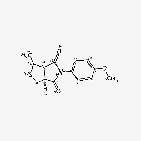 COc1ccc(N2C(=O)[C@@H]3CSC(C)N3C2=O)cc1